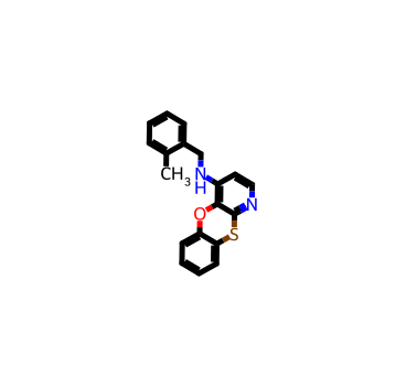 Cc1ccccc1CNc1ccnc2c1Oc1ccccc1S2